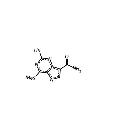 CSc1nc(S)nn2c(C(N)=O)cnc12